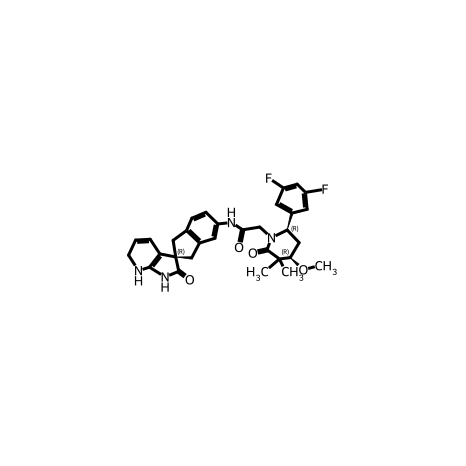 CO[C@@H]1C[C@H](c2cc(F)cc(F)c2)N(CC(=O)Nc2ccc3c(c2)C[C@@]2(C3)C(=O)NC3=C2C=CCN3)C(=O)C1(C)C